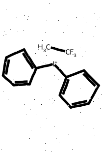 CC(F)(F)F.c1ccc([I+]c2ccccc2)cc1